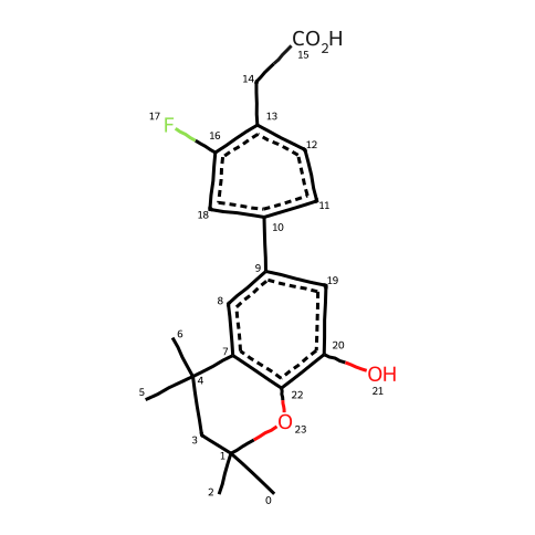 CC1(C)CC(C)(C)c2cc(-c3ccc(CC(=O)O)c(F)c3)cc(O)c2O1